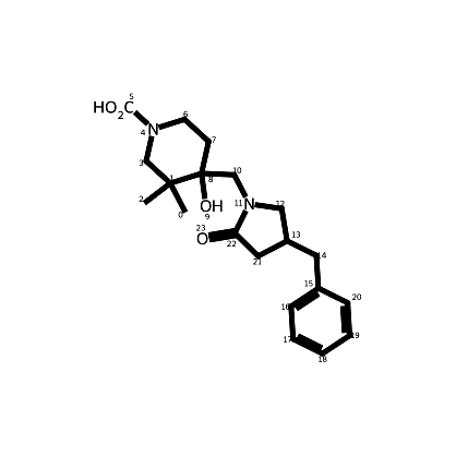 CC1(C)CN(C(=O)O)CCC1(O)CN1CC(Cc2ccccc2)CC1=O